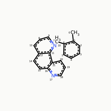 Cc1ccccc1C.c1cnc2c(c1)ccc1ncccc12